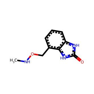 CNOCc1cccc2[nH]c(=O)[nH]c12